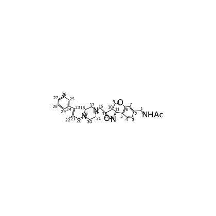 CC(=O)NCc1ccc2c(c1)OCC1C2=NOC1CN1CCN(CC(C)=Cc2ccccc2)CC1